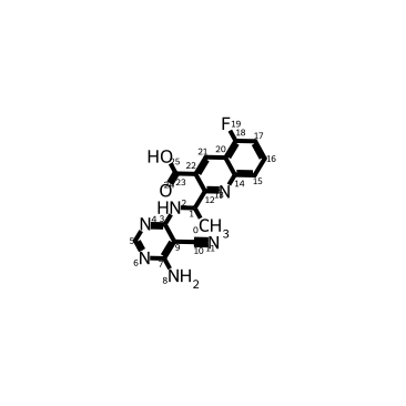 CC(Nc1ncnc(N)c1C#N)c1nc2cccc(F)c2cc1C(=O)O